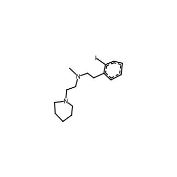 CN(CCc1ccccc1I)CCN1CCCCC1